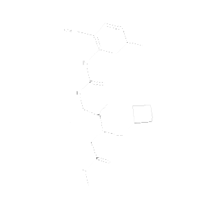 COc1ccc(Cl)cc1NC(=O)N[C@H](C(=O)N(CC(=O)NO)CC1CCC1)C(C)(C)C